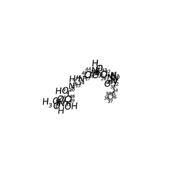 CS(=O)(=O)Nc1cc(C(O)CNC2CCN(c3ccc(NS(=O)(=O)c4ccc(-n5nnn(CCCC6CCCC6)c5=O)cc4)cc3)CC2)ccc1O